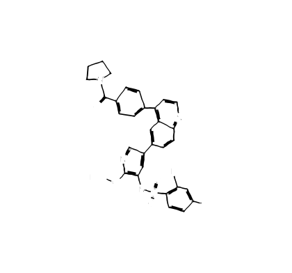 COc1ncc(-c2ccc3nccc(-c4ccc(C(=O)N5CCCC5)cc4)c3c2)cc1NS(=O)(=O)c1ccc(F)cc1F